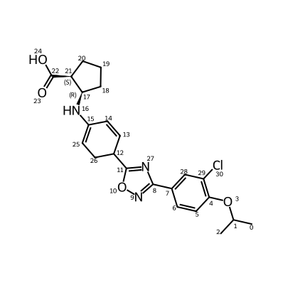 CC(C)Oc1ccc(-c2noc(C3C=CC(N[C@@H]4CCC[C@@H]4C(=O)O)=CC3)n2)cc1Cl